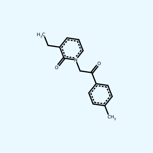 CCc1cccn(CC(=O)c2ccc(C)cc2)c1=O